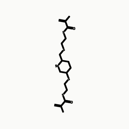 C=C(C)C(=O)SCCSCC1CCC(SCCSC(=O)C(=C)C)C[Se]1